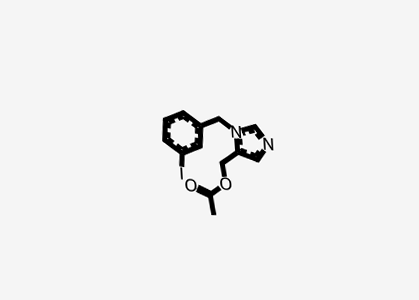 CC(=O)OCc1cncn1Cc1cccc(I)c1